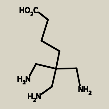 NCC(CN)(CN)CCCC(=O)O